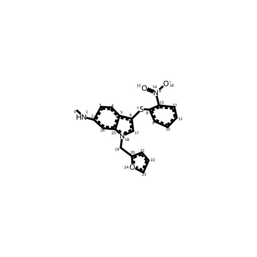 CNc1ccc2c(Sc3ccccc3[N+](=O)[O-])cn(Cc3ccco3)c2c1